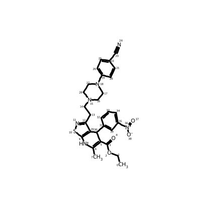 CCOC(=O)C1=C(C)Nc2snc(CCN3CCN(c4ccc(C#N)cc4)CC3)c2C1c1cccc([N+](=O)[O-])c1